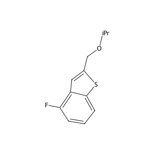 CC(C)OCc1cc2c(F)cccc2s1